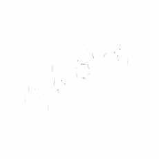 Cc1nc(C(=O)/C=C/N(C)C)ccc1CNC(=O)OC(C)(C)C